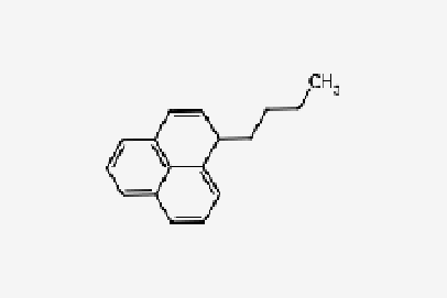 CCCCC1C=Cc2cccc3cccc1c23